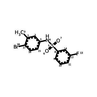 Cc1cc(NS(=O)(=O)c2cccc(F)c2)ccc1Br